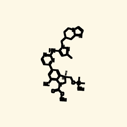 Cc1cc(Nc2nccc(-c3cc(C#N)c4c(c3)[C@@](C)(CO[Si](C)(C)C(C)(C)C)CN4C(=O)OC(C)(C)C)n2)n(CC2CCn3ccnc3C2)n1